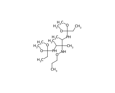 CCCONC(C)(C(C)PC(CC)(OC)OC)C(C)PC(CC)(OC)OC